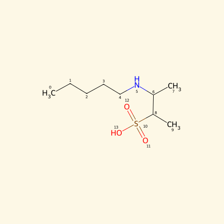 CCCCCNC(C)C(C)S(=O)(=O)O